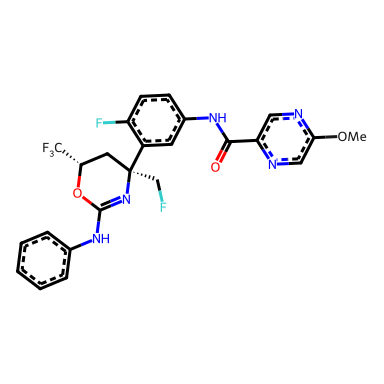 COc1cnc(C(=O)Nc2ccc(F)c([C@]3(CF)C[C@@H](C(F)(F)F)OC(Nc4ccccc4)=N3)c2)cn1